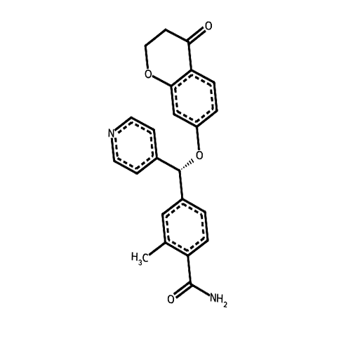 Cc1cc([C@@H](Oc2ccc3c(c2)OCCC3=O)c2ccncc2)ccc1C(N)=O